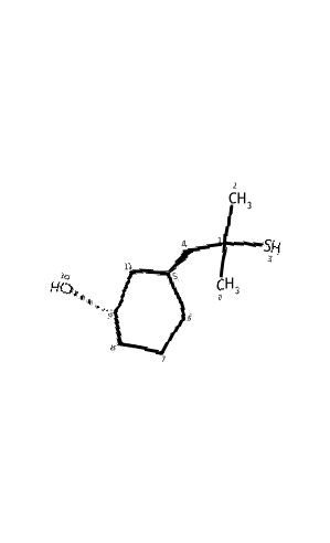 CC(C)(S)C[C@H]1CCC[C@H](O)C1